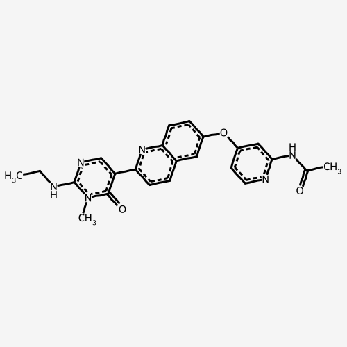 CCNc1ncc(-c2ccc3cc(Oc4ccnc(NC(C)=O)c4)ccc3n2)c(=O)n1C